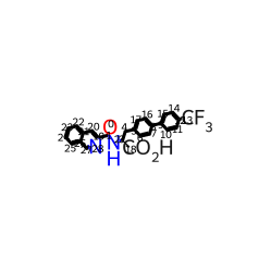 O=C(N[C@@H](Cc1ccc(-c2ccc(C(F)(F)F)cc2)cc1)C(=O)O)c1cc2ccccc2cn1